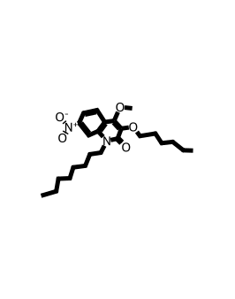 CCCCCCCCn1c(=O)c(OCCCCCC)c(OC)c2ccc([N+](=O)[O-])cc21